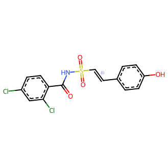 O=C(NS(=O)(=O)/C=C/c1ccc(O)cc1)c1ccc(Cl)cc1Cl